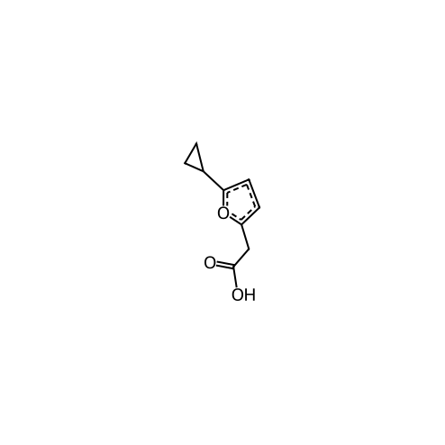 O=C(O)Cc1ccc(C2CC2)o1